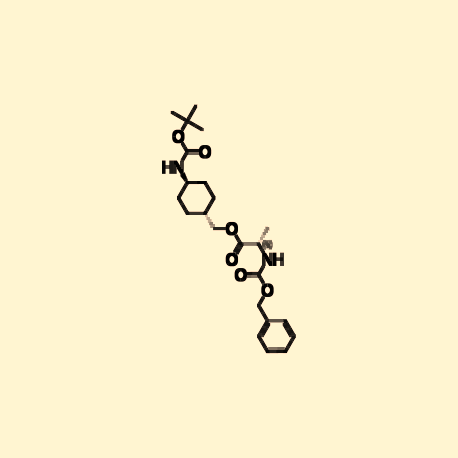 C[C@H](NC(=O)OCc1ccccc1)C(=O)OC[C@H]1CC[C@H](NC(=O)OC(C)(C)C)CC1